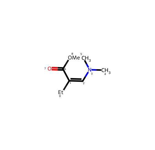 CCC(=CN(C)C)C(=O)OC